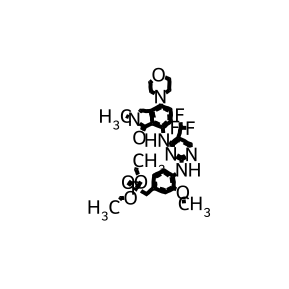 CCOP(=O)(Cc1ccc(Nc2ncc(C(F)(F)F)c(Nc3ccc(N4CCOCC4)c4c3C(=O)N(C)C4)n2)c(OC)c1)OCC